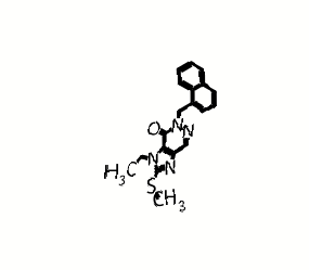 CCn1c(SC)nc2cnn(Cc3cccc4ccccc34)c(=O)c21